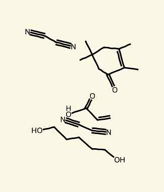 C=CC(=O)O.CC1=C(C)C(=O)CC(C)(C)C1.N#CC#N.N#CC#N.OCCCCCO